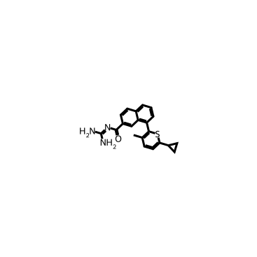 CC1=C(c2cccc3ccc(C(=O)N=C(N)N)cc23)SC(C2CC2)=C=C1